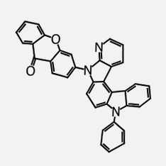 O=c1c2ccccc2oc2cc(-n3c4ccc5c(c6ccccc6n5-c5ccccc5)c4c4cccnc43)ccc12